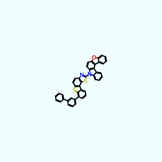 c1ccc(-c2cccc(-c3cccc4c3sc3ccc5nc(-n6c7ccccc7c7c8c(ccc76)oc6ccccc68)sc5c34)c2)cc1